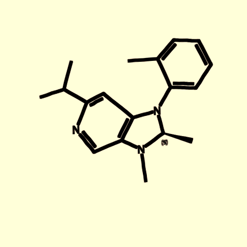 Cc1ccccc1N1c2cc(C(C)C)ncc2N(C)[C@@H]1C